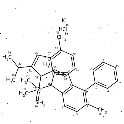 CC1=Cc2c(ccc(C)c2-c2ccccc2)[CH]1[Zr]([CH3])([CH3])(=[SiH2])[CH]1C(C(C)C)=Cc2c(C)cccc21.Cl.Cl